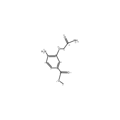 COC(=O)c1ccc(N)c(OCC(N)=O)c1